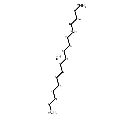 CCCCCCCCCCCCNCCCN.[HH]